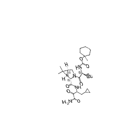 CC1(OC(=O)N[C@H](C(=O)N2C[C@H]3[C@@H]([C@H]2C(=O)NC(CC2CC2)C(=O)C(N)=O)C3(C)C)C(C)(C)C)CCCCC1